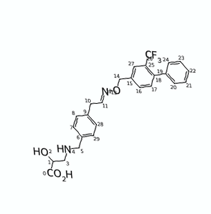 O=C(O)C(O)CNCc1ccc(CC=NOCc2ccc(-c3ccccc3)c(C(F)(F)F)c2)cc1